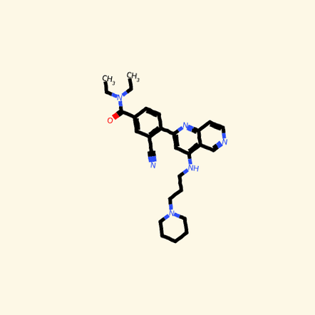 CCN(CC)C(=O)c1ccc(-c2cc(NCCCN3CCCCC3)c3cnccc3n2)c(C#N)c1